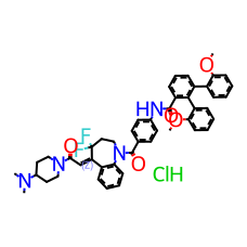 COc1ccccc1-c1cccc(C(=O)Nc2ccc(C(=O)N3CCC(F)(F)/C(=C\C(=O)N4CCC(N(C)C)CC4)c4ccccc43)cc2)c1-c1ccccc1OC.Cl